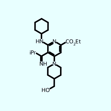 CCOC(=O)c1cc(N2CCC(CO)CC2)c(C(=N)C(C)C)c(NC2CCCCC2)n1